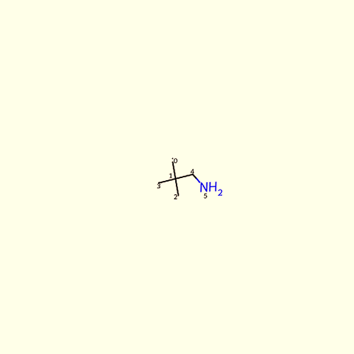 [CH2]C(C)(C)CN